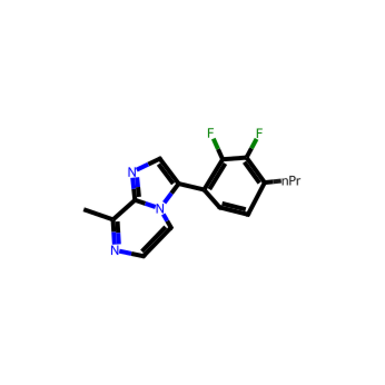 CCCc1ccc(-c2cnc3c(C)nccn23)c(F)c1F